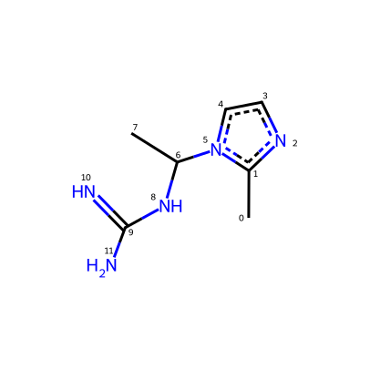 Cc1nccn1C(C)NC(=N)N